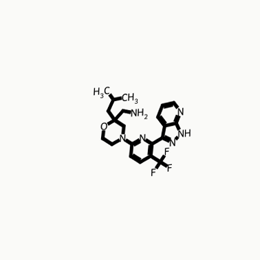 CC(C)CC1(CN)CN(c2ccc(C(F)(F)F)c(-c3n[nH]c4ncccc34)n2)CCO1